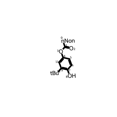 CCCCCCCCCC(=O)Oc1ccc(O)c(C(C)(C)C)c1